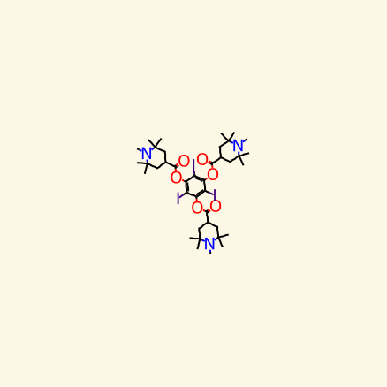 CN1C(C)(C)CC(C(=O)Oc2c(I)c(OC(=O)C3CC(C)(C)N(C)C(C)(C)C3)c(I)c(OC(=O)C3CC(C)(C)N(C)C(C)(C)C3)c2I)CC1(C)C